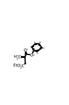 C=C(CC(=O)OCC)C(=O)Oc1ccccc1